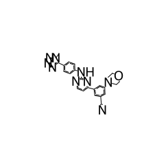 Cn1nnnc1-c1ccc(Nc2nccc(-c3cc(C#N)cc(N4CCOCC4)c3)n2)cc1